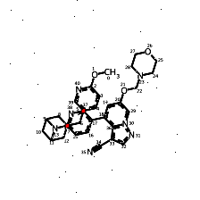 COc1ccc(CN2CC3CC(C2)N3c2ccc(-c3cc(OCN4CCOCC4)cn4ncc(C#N)c34)cn2)cn1